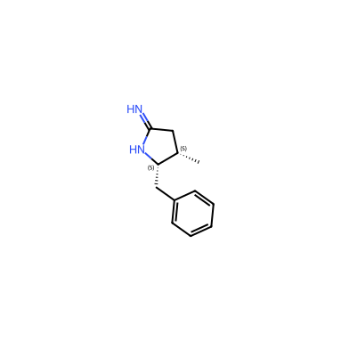 C[C@H]1CC(=N)N[C@H]1Cc1ccccc1